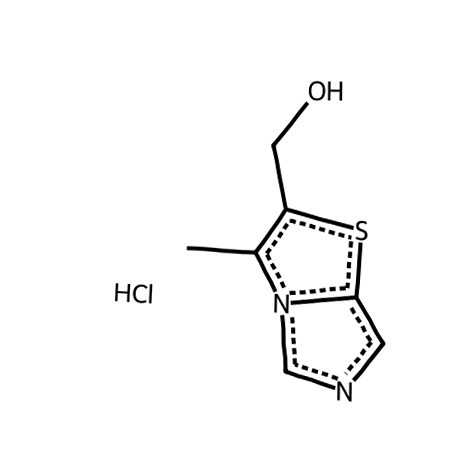 Cc1c(CO)sc2cncn12.Cl